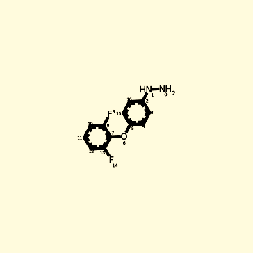 NNc1ccc(Oc2c(F)cccc2F)cc1